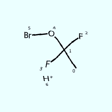 CC(F)(F)OBr.[H+]